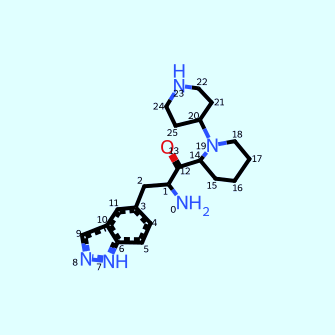 NC(Cc1ccc2[nH]ncc2c1)C(=O)C1CCCCN1C1CCNCC1